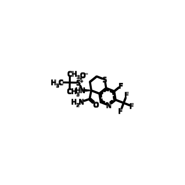 CC(C)(C)[S@+]([O-])N[C@@]1(C(N)=O)CCSc2c1cnc(C(F)(F)F)c2F